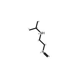 C=NCCNC(C)C